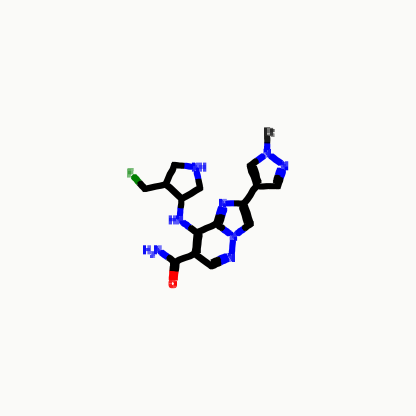 CCn1cc(-c2cn3ncc(C(N)=O)c(NC4CNCC4CF)c3n2)cn1